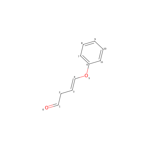 O=CCC=COc1ccccc1